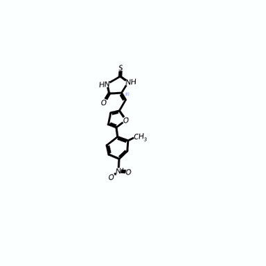 Cc1cc([N+](=O)[O-])ccc1-c1ccc(/C=C2/NC(=S)NC2=O)o1